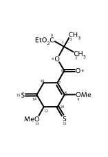 CCOC(=O)C(C)(C)OC(=O)C1=C(OC)C(=S)C(OC)C(=S)C1